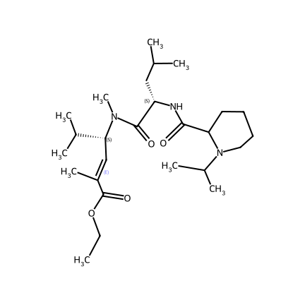 CCOC(=O)/C(C)=C/[C@H](C(C)C)N(C)C(=O)[C@H](CC(C)C)NC(=O)C1CCCCN1C(C)C